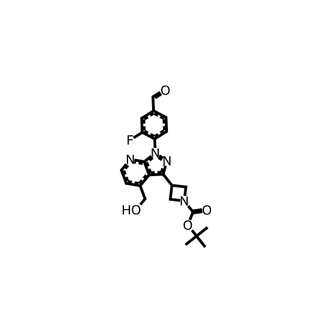 CC(C)(C)OC(=O)N1CC(c2nn(-c3ccc(C=O)cc3F)c3nccc(CO)c23)C1